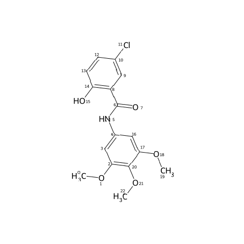 COc1cc(NC(=O)c2cc(Cl)ccc2O)cc(OC)c1OC